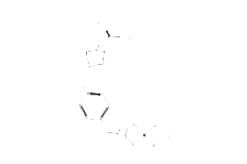 O=C(O)N1CC(Oc2ccc(CN3CC4(COC4)C3)cc2)C1